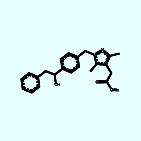 COC(=O)Cc1c(C)nn(Cc2ccc(C(O)Cc3ccccc3)cc2)c1C